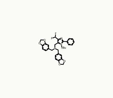 CCCCn1c(-c2ccccc2)nc(C(F)F)c1CN(Cc1ccc2c(c1)OCO2)Cc1ccc2c(c1)OCO2